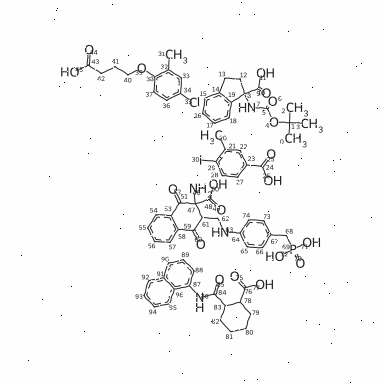 CC(C)(C)OC(=O)NC1(C(=O)O)CCc2ccccc21.Cc1cc(C(=O)O)ccc1I.Cc1cc(Cl)ccc1OCCCC(=O)O.NC1(C(=O)O)C(=O)c2ccccc2C(=O)C1CNc1ccc(CP(=O)(O)O)cc1.O=C(O)C1CCCCC1C(=O)Nc1cccc2ccccc12